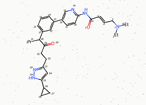 CCN(CC)C/C=C/C(=O)Nc1ccc(-c2cccc(C(C(=O)CCc3cc(C4CC4)[nH]n3)C(C)C)c2)cn1